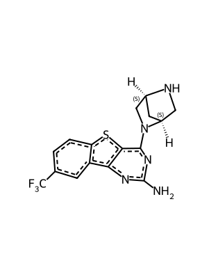 Nc1nc(N2C[C@@H]3C[C@H]2CN3)c2sc3ccc(C(F)(F)F)cc3c2n1